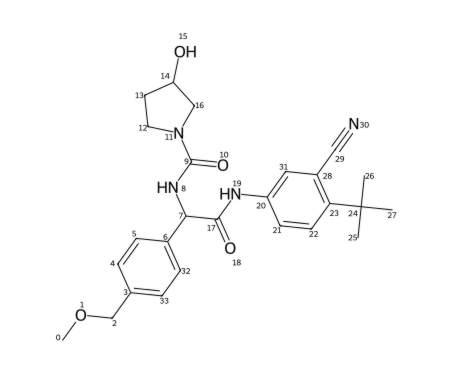 COCc1ccc(C(NC(=O)N2CCC(O)C2)C(=O)Nc2ccc(C(C)(C)C)c(C#N)c2)cc1